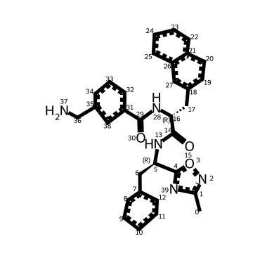 Cc1noc([C@@H](Cc2ccccc2)NC(=O)[C@@H](Cc2ccc3ccccc3c2)NC(=O)c2cccc(CN)c2)n1